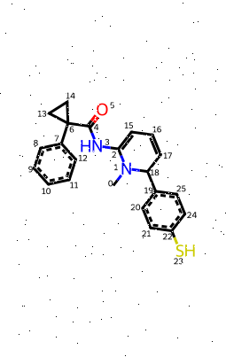 CN1C(NC(=O)C2(c3ccccc3)CC2)=CC=CC1c1ccc(S)cc1